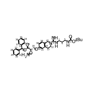 CC(C)(C)OC(=O)NCCCNC(=N)N1CCc2cc(OC[C@H](ON)C(=O)OC(c3ccccc3)c3ccccc3)ccc2C1